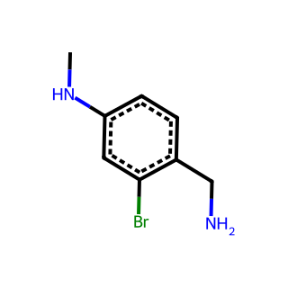 CNc1ccc(CN)c(Br)c1